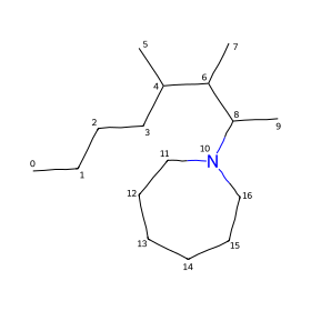 CCCCC(C)C(C)C(C)N1CCCCCC1